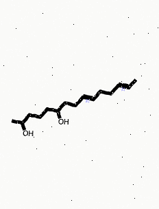 C/C=C/CC/C=C/CCC(O)CCCC(C)O